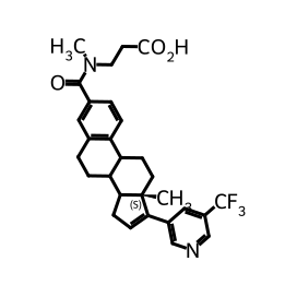 CN(CCC(=O)O)C(=O)c1ccc2c(c1)CCC1C2CC[C@]2(C)C(c3cncc(C(F)(F)F)c3)=CCC12